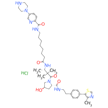 Cc1ncsc1-c1ccc(CCNC(=O)[C@@H]2C[C@@H](O)CN2C(=O)C(C)(C)[C@H](C)NC(=O)CCCCCCCNC(=O)c2ccc(N3CCNCC3)cn2)cc1.Cl